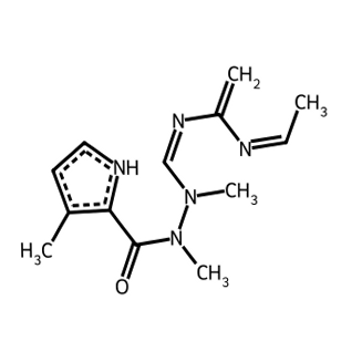 C=C(/N=C\C)/N=C\N(C)N(C)C(=O)c1[nH]ccc1C